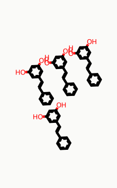 Oc1cc(O)cc(/C=C/c2ccccc2)c1.Oc1cc(O)cc(/C=C/c2ccccc2)c1.Oc1cc(O)cc(/C=C/c2ccccc2)c1.Oc1cc(O)cc(/C=C/c2ccccc2)c1